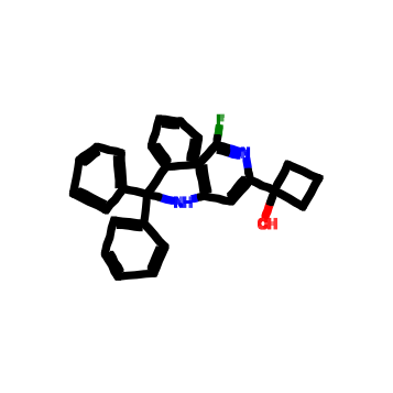 OC1(c2cc(NC(c3ccccc3)(c3ccccc3)c3ccccc3)cc(F)n2)CCC1